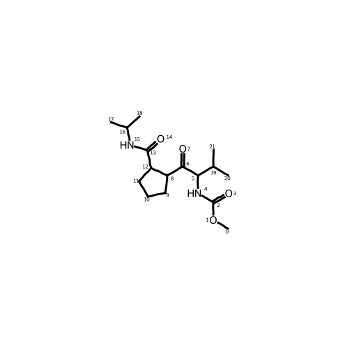 COC(=O)NC(C(=O)C1CCCC1C(=O)NC(C)C)C(C)C